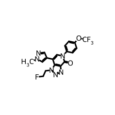 Cn1cc(-c2cn(-c3ccc(OC(F)(F)F)cc3)c(=O)c3nnn(CCF)c23)cn1